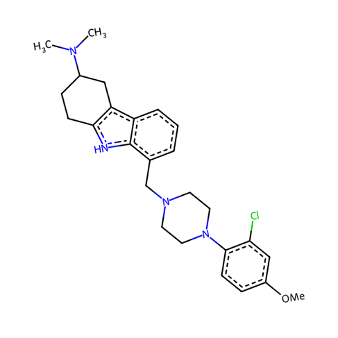 COc1ccc(N2CCN(Cc3cccc4c5c([nH]c34)CCC(N(C)C)C5)CC2)c(Cl)c1